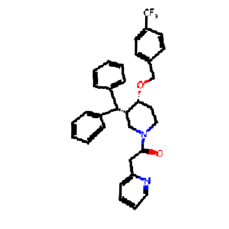 O=C(Cc1ccccn1)N1CC[C@@H](OCc2ccc(C(F)(F)F)cc2)[C@@H](C(c2ccccc2)c2ccccc2)C1